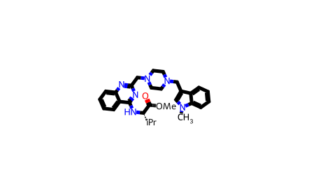 COC(=O)[C@@H](Nc1nc(CN2CCN(Cc3cn(C)c4ccccc34)CC2)nc2ccccc12)C(C)C